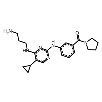 NCCCNc1nc(Nc2cccc(C(=O)N3CCCC3)c2)ncc1C1CC1